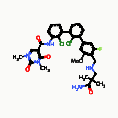 COc1cc(-c2cccc(-c3cccc(NC(=O)c4cn(C)c(=O)n(C)c4=O)c3Cl)c2Cl)cc(F)c1CNCC(C)(C)C(N)=O